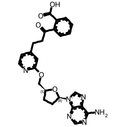 Nc1ncnc2c1ncn2[C@H]1CC[C@@H](COc2cc(CCC(=O)c3ccccc3C(=O)O)ccn2)O1